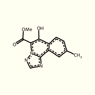 COC(=O)c1c(O)c2ccc(C)cc2c2ncnn12